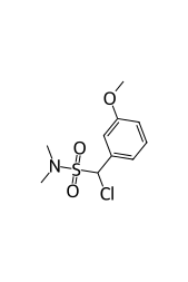 COc1cccc(C(Cl)S(=O)(=O)N(C)C)c1